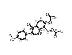 COc1ccc(-c2coc3c(COC(C)=O)c(OC(C)=O)ccc3c2=O)cc1